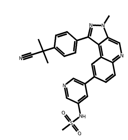 Cn1nc(-c2ccc(C(C)(C)C#N)cc2)c2c3cc(-c4cncc(NS(C)(=O)=O)c4)ccc3ncc21